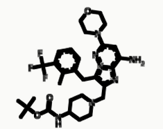 Cc1c(Cc2c(CN3CCC(NC(=O)OC(C)(C)C)CC3)nc3c(N)cc(N4CCOCC4)nn23)cccc1C(F)(F)F